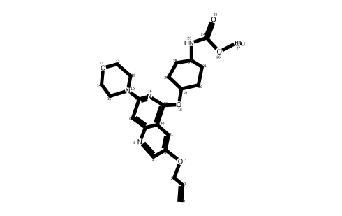 C=CCOc1cnc2cc(N3CCOCC3)nc(OC3CCC(NC(=O)OC(C)(C)C)CC3)c2c1